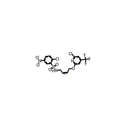 O=[N+]([O-])c1ccc(Cl)c(S(=O)(=O)NC/C=C\COc2cc(C(F)(F)F)cc(Cl)n2)c1